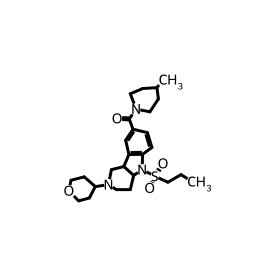 CCCS(=O)(=O)N1c2ccc(C(=O)N3CCC(C)CC3)cc2C2CN(C3CCOCC3)CCC21